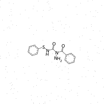 NN(C(=O)NSc1ccccc1)C(=O)c1ccccc1